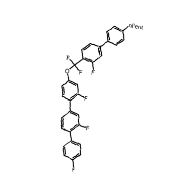 CCCCCc1ccc(-c2ccc(C(F)(F)Oc3ccc(-c4ccc(-c5ccc(F)cc5)c(F)c4)c(F)c3)c(F)c2)cc1